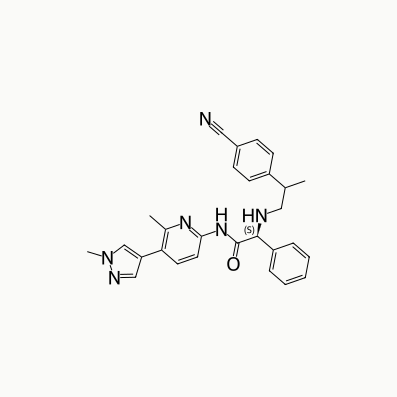 Cc1nc(NC(=O)[C@@H](NCC(C)c2ccc(C#N)cc2)c2ccccc2)ccc1-c1cnn(C)c1